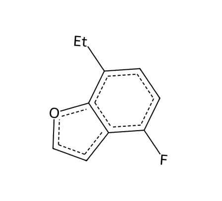 CCc1ccc(F)c2ccoc12